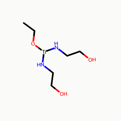 CC[O][Ti]([NH]CCO)[NH]CCO